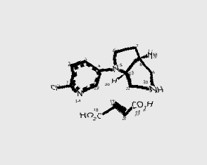 Clc1ccc(N2CC[C@@H]3CNC[C@@H]32)cn1.O=C(O)/C=C/C(=O)O